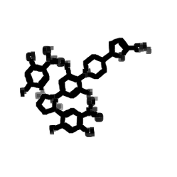 Cc1ccc(C2CCN(c3c(F)cc(N4[C@@H](c5cc([N+](=O)[O-])c(Cl)cc5F)CC[C@@H]4c4cc([N+](=O)[O-])c(Cl)cc4F)cc3F)CC2)s1